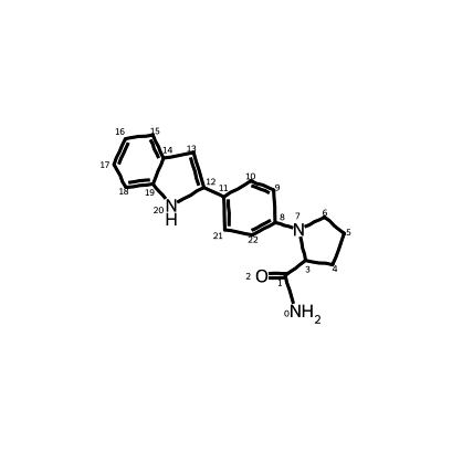 NC(=O)C1CCCN1c1ccc(-c2cc3ccccc3[nH]2)cc1